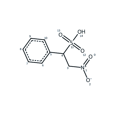 O=[N+]([O-])CC(c1ccccc1)S(=O)(=O)O